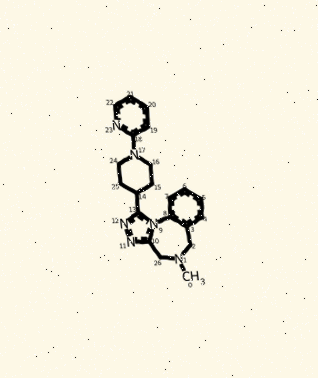 CN1Cc2ccccc2-n2c(nnc2C2CCN(c3ccccn3)CC2)C1